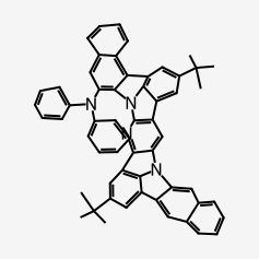 CC(C)(C)c1cc2c3cc4ccccc4cc3n3c4cc5c6cc(C(C)(C)C)cc7c8c9ccccc9cc(N(c9ccccc9)c9ccccc9)c8n(c5nc4c(c1)c23)c67